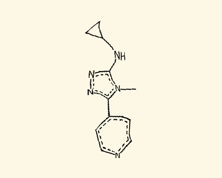 Cn1c(NC2CC2)nnc1-c1ccncc1